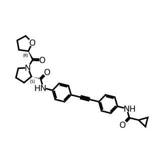 O=C(Nc1ccc(C#Cc2ccc(NC(=O)[C@@H]3CCCN3C(=O)[C@H]3CCCO3)cc2)cc1)C1CC1